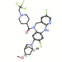 CO[C@H]1C[C@H]2CC1=CN2c1cc2c(cc1F)Nc1ncc(F)cc1CN2C(=O)C1CCN(CC(F)(F)F)CC1